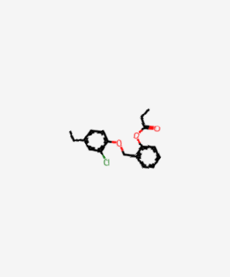 CCC(=O)Oc1ccccc1COc1ccc(CC)cc1Cl